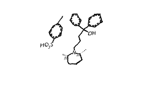 C[C@@H]1CCC[C@H](C)N1CCCC(O)(c1ccccc1)c1ccccc1.Cc1ccc(S(=O)(=O)O)cc1